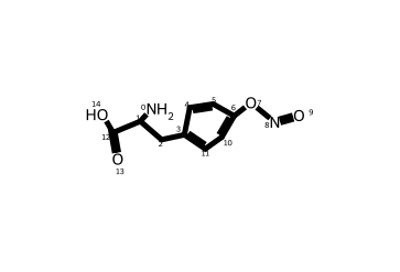 NC(Cc1ccc(ON=O)cc1)C(=O)O